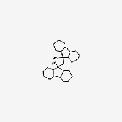 OC1(CC2(O)C3CCCCC3C3CCCCC32)C2CCCCC2C2CCCCC21